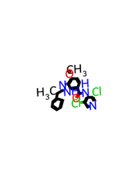 COc1ccc(C(=O)Nc2c(Cl)cncc2Cl)c2[nH]c([C@@H](C)c3ccccc3)nc12